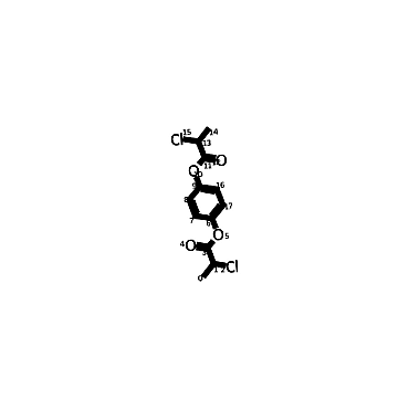 CC(Cl)C(=O)Oc1ccc(OC(=O)C(C)Cl)cc1